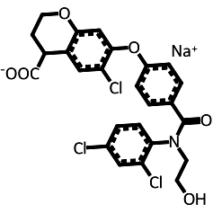 O=C([O-])C1CCOc2cc(Oc3ccc(C(=O)N(CCO)c4ccc(Cl)cc4Cl)cc3)c(Cl)cc21.[Na+]